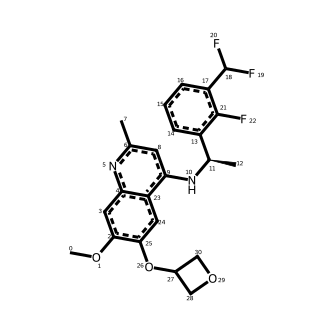 COc1cc2nc(C)cc(N[C@H](C)c3cccc(C(F)F)c3F)c2cc1OC1COC1